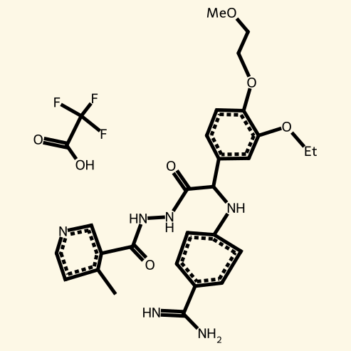 CCOc1cc(C(Nc2ccc(C(=N)N)cc2)C(=O)NNC(=O)c2cnccc2C)ccc1OCCOC.O=C(O)C(F)(F)F